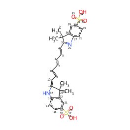 CC1(C)C(/C=C/C=C/C=C/C=C2/Nc3ccc(S(=O)(=O)O)cc3C2(C)C)=Nc2ccc(S(=O)(=O)O)cc21